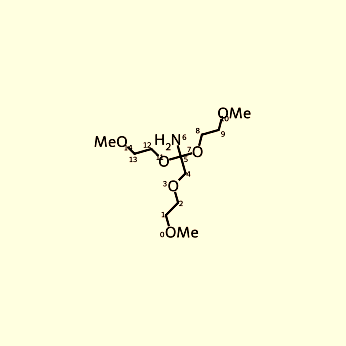 COCCOCC(N)(OCCOC)OCCOC